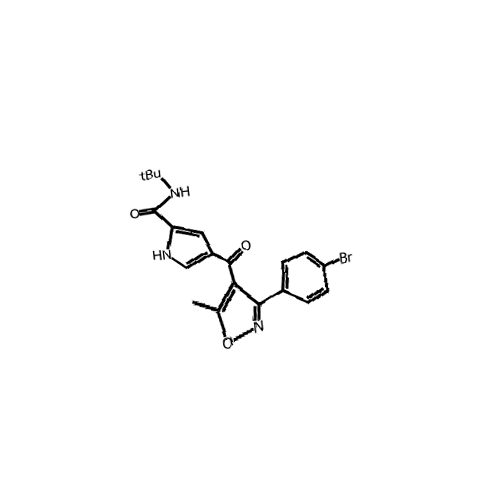 Cc1onc(-c2ccc(Br)cc2)c1C(=O)c1c[nH]c(C(=O)NC(C)(C)C)c1